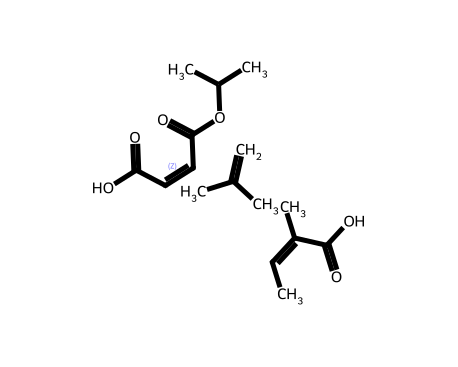 C=C(C)C.CC(C)OC(=O)/C=C\C(=O)O.CC=C(C)C(=O)O